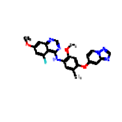 COc1cc(F)c2c(Nc3cc(C)c(Oc4ccn5ncnc5c4)cc3OC)ncnc2c1